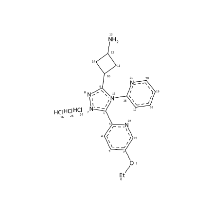 CCOc1ccc(-c2nnc(C3CC(N)C3)n2-c2ccccn2)nc1.Cl.Cl.Cl